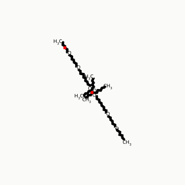 CCCCCCCOCCCCCCCOCCCCCCCCCCOC(CCCCCC)(CCCCCC)OC(CCCCCC)(CCCCCC)OCCCCCCCCCCOCCCCCCCOCCCCCCC